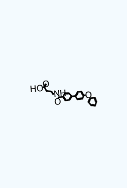 O=C(O)CCCNC(=O)c1ccc(-c2ccc(Oc3ccccc3)cc2)cc1